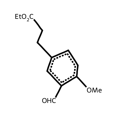 CCOC(=O)CCc1ccc(OC)c(C=O)c1